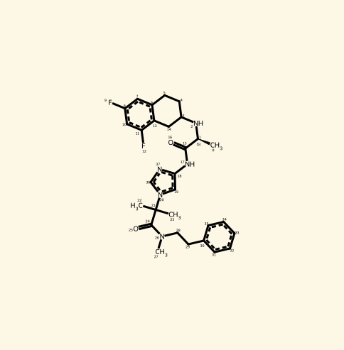 C[C@H](NC1CCc2cc(F)cc(F)c2C1)C(=O)Nc1cn(C(C)(C)C(=O)N(C)CCc2ccccc2)cn1